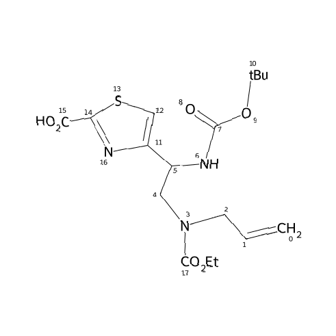 C=CCN(CC(NC(=O)OC(C)(C)C)c1csc(C(=O)O)n1)C(=O)OCC